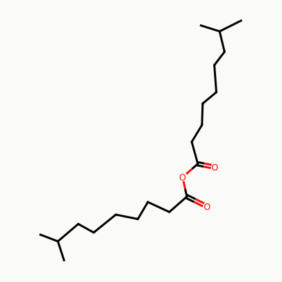 CC(C)CCCCCCC(=O)OC(=O)CCCCCCC(C)C